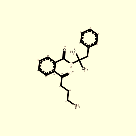 CC(C)(Cc1ccccc1)OC(=O)c1ccccc1C(=O)CCCN